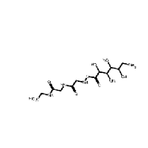 NCC(O)C(O)C(O)C(O)C(=O)ONCC(=O)NCC(=O)NCC(=O)O